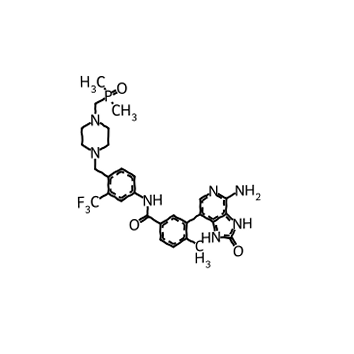 Cc1ccc(C(=O)Nc2ccc(CN3CCN(CP(C)(C)=O)CC3)c(C(F)(F)F)c2)cc1-c1cnc(N)c2[nH]c(=O)[nH]c12